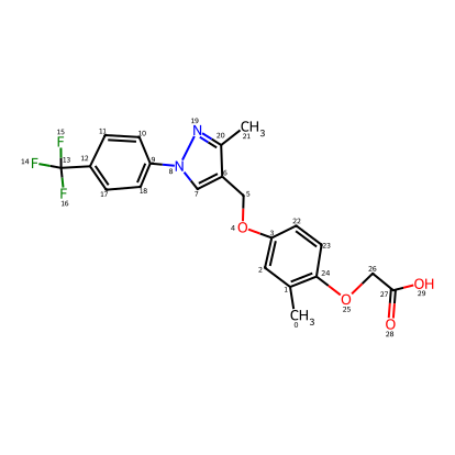 Cc1cc(OCc2cn(-c3ccc(C(F)(F)F)cc3)nc2C)ccc1OCC(=O)O